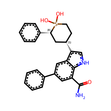 NC(=O)c1cc(-c2ccccc2)cc2c([C@H]3CCS(O)(O)[C@@H](c4ccccc4)C3)c[nH]c12